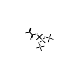 C=C(C)C(=O)OC(C)(C)[Si](C)(O[Si](C)(C)C)O[Si](C)(C)C